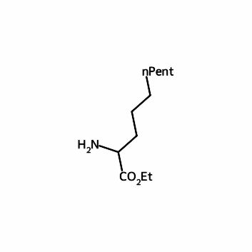 CCCCCCCCC(N)C(=O)OCC